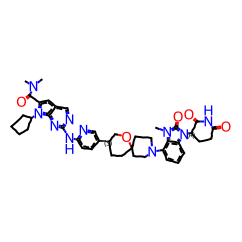 CN(C)C(=O)c1cc2cnc(Nc3ccc([C@@H]4CCC5(CCN(c6cccc7c6n(C)c(=O)n7[C@@H]6CCC(=O)NC6=O)CC5)OC4)cn3)nc2n1C1CCCC1